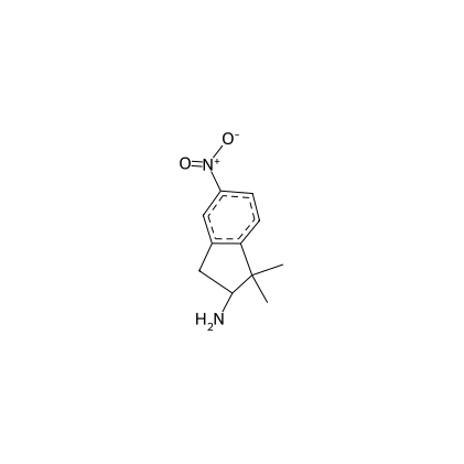 CC1(C)c2ccc([N+](=O)[O-])cc2CC1N